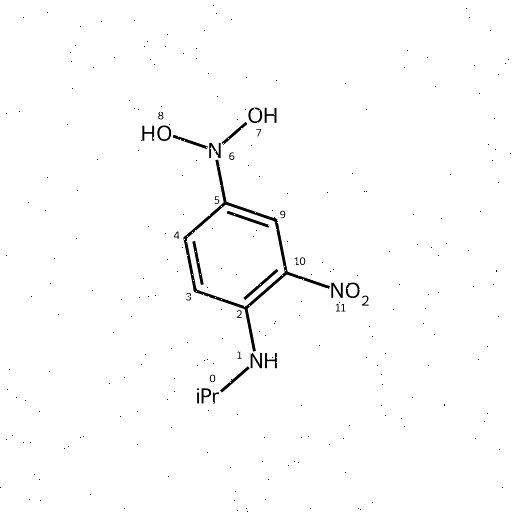 CC(C)Nc1ccc(N(O)O)cc1[N+](=O)[O-]